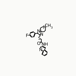 CN1CCC2(CC1)N=C(SCC(=O)Nc1cnc3ccccc3c1)C(c1ccc(F)cc1)=N2